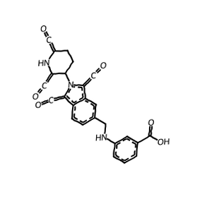 O=C=C1CCC(n2c(=C=O)c3ccc(CNc4cccc(C(=O)O)c4)cc3c2=C=O)C(=C=O)N1